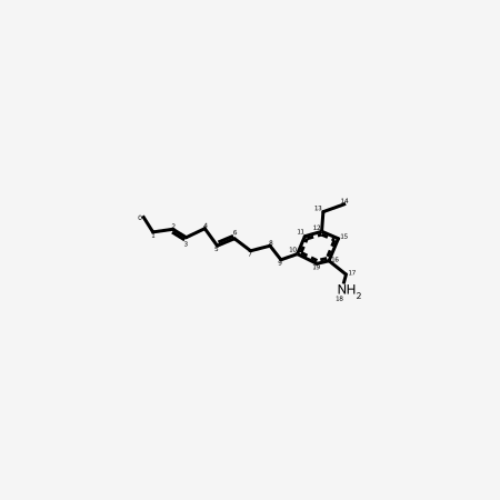 CC/C=C/CC=CCCCc1cc(CC)cc(CN)c1